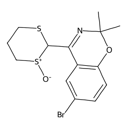 CC1(C)N=C(C2SCCC[S+]2[O-])c2cc(Br)ccc2O1